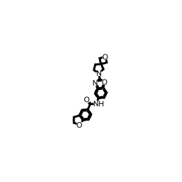 O=C(Nc1ccc2oc(N3CCC4(COC4)C3)nc2c1)c1ccc2c(c1)CCO2